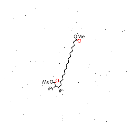 COC(=O)CCCCCCCCCCCCCCCCC(C(C)C)C(C(=O)OC)C(C)C